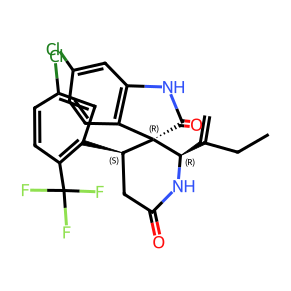 C=C(CC)[C@H]1NC(=O)C[C@@H](c2cc(Cl)ccc2C(F)(F)F)[C@]12C(=O)Nc1cc(Cl)ccc12